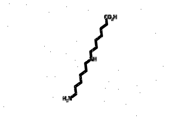 NCCCCCCNCCCCCCC(=O)O